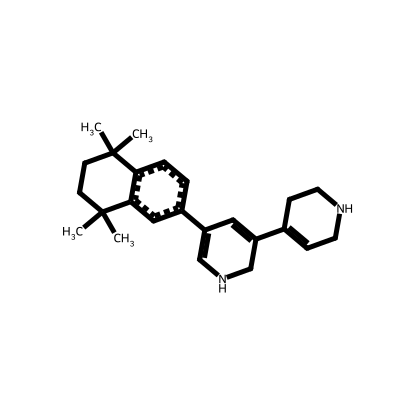 CC1(C)CCC(C)(C)c2cc(C3=CNCC(C4=CCNCC4)=C3)ccc21